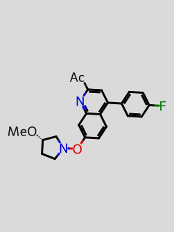 CO[C@H]1CCN(Oc2ccc3c(-c4ccc(F)cc4)cc(C(C)=O)nc3c2)C1